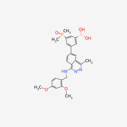 COc1ccc(CNc2nnc(C)c3cc(-c4cc(B(O)O)cc(P(C)(C)=O)c4)ccc23)c(OC)c1